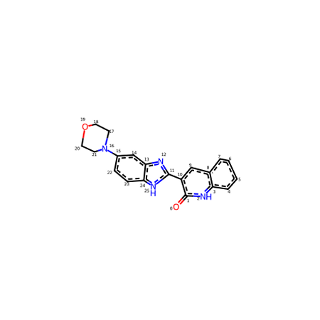 O=c1[nH]c2ccccc2cc1-c1nc2cc(N3CCOCC3)ccc2[nH]1